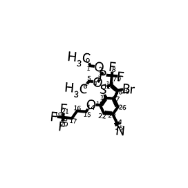 CCOP(OCC)C(F)(F)c1sc2c(OCCCC(F)(F)F)cc(C#N)cc2c1Br